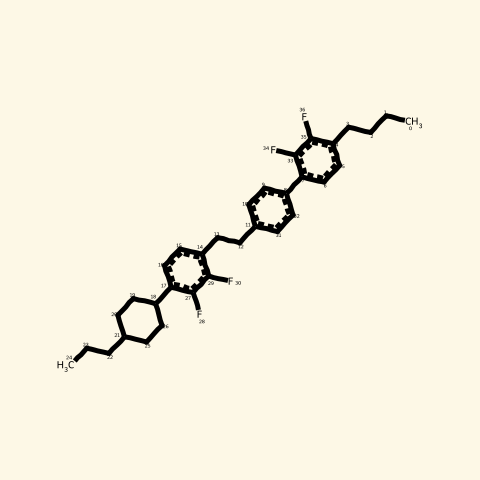 CCCCc1ccc(-c2ccc(CCc3ccc(C4CCC(CCC)CC4)c(F)c3F)cc2)c(F)c1F